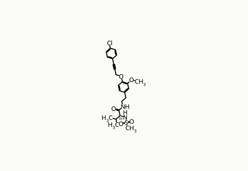 COc1cc(CCNC(=O)[C@@H](NS(C)(=O)=O)C(C)C)ccc1OCC#Cc1ccc(Cl)cc1